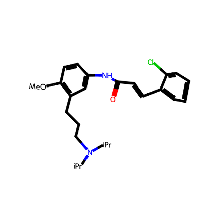 COc1ccc(NC(=O)/C=C/c2ccccc2Cl)cc1CCCN(C(C)C)C(C)C